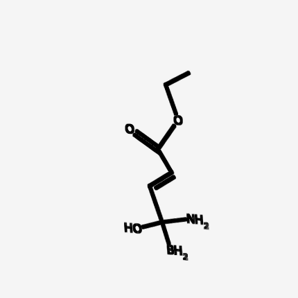 BC(N)(O)/C=C/C(=O)OCC